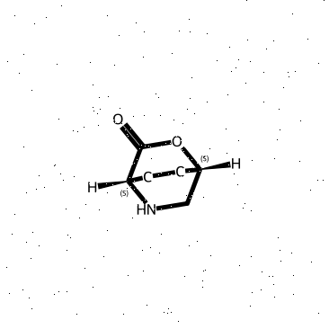 O=C1O[C@H]2CC[C@@H]1NC2